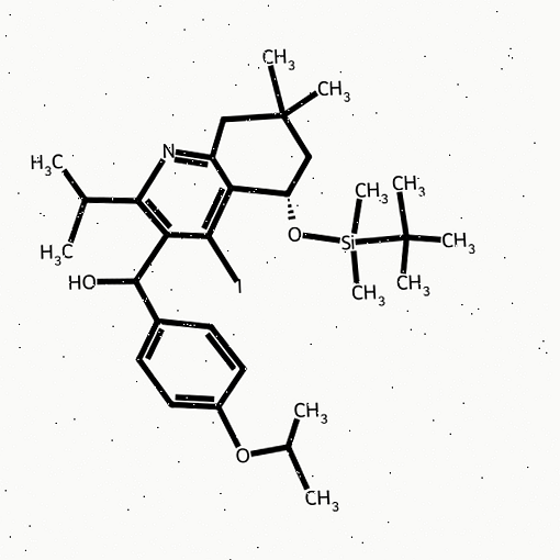 CC(C)Oc1ccc(C(O)c2c(C(C)C)nc3c(c2I)[C@@H](O[Si](C)(C)C(C)(C)C)CC(C)(C)C3)cc1